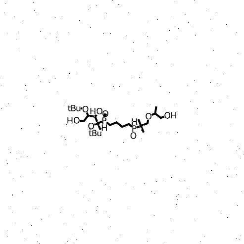 CC(CO)OCC(C)(C)[PH](=O)CCCC[PH](=O)C(C)(OC(C)(C)C)C(O)C(CO)OC(C)(C)C